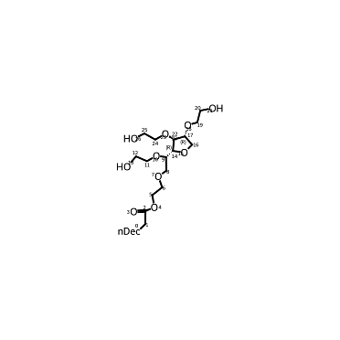 CCCCCCCCCCCC(=O)OCCOCC(OCCO)[C@H]1OC[C@@H](OCCO)[C@@H]1OCCO